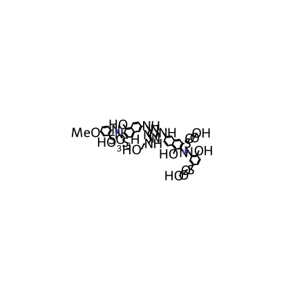 COc1ccc(/N=N/c2c(S(=O)(=O)O)cc3cc(Nc4nc(NCCO)nc(Nc5ccc6c(O)c(/N=N/c7cc(SOOO)ccc7O)c(SOOO)cc6c5)n4)ccc3c2O)c(S(=O)(=O)O)c1